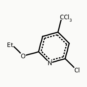 CCOc1cc(C(Cl)(Cl)Cl)cc(Cl)n1